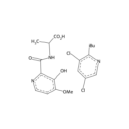 CCC(C)c1ncc(Cl)cc1Cl.COc1ccnc(C(=O)NC(C)C(=O)O)c1O